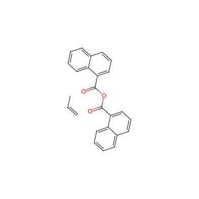 C=CC.O=C(OC(=O)c1cccc2ccccc12)c1cccc2ccccc12